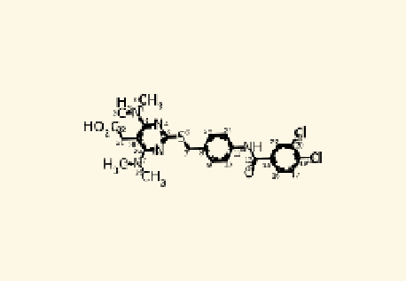 CN(C)c1nc(SCc2ccc(NC(=O)c3ccc(Cl)c(Cl)c3)cc2)nc(N(C)C)c1CC(=O)O